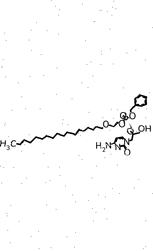 CCCCCCCCCCCCCCCCCCOCCO[P@](=O)(COC(CO)Cn1ccc(N)nc1=O)OCc1ccccc1